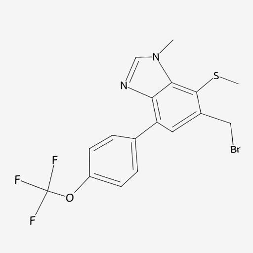 CSc1c(CBr)cc(-c2ccc(OC(F)(F)F)cc2)c2ncn(C)c12